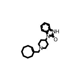 O=c1[nH]c2ccccc2n1C1CCN(C/C2=C/CCCCCC2)CC1